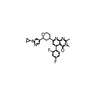 Cc1nc2nc(C3CCOC(c4cnn(C5CC5)c4)C3)cc(-c3ccc(F)cc3F)c2c(=O)n1C